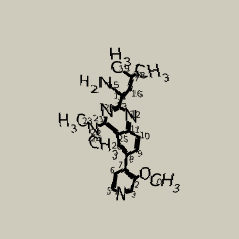 COc1cnccc1-c1ccc2nc(C(N)CC(C)C)nc(N(C)C)c2c1